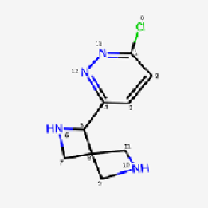 Clc1ccc(C2NCC23CNC3)nn1